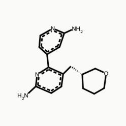 Nc1cc(-c2nc(N)ccc2C[C@H]2CCCOC2)ccn1